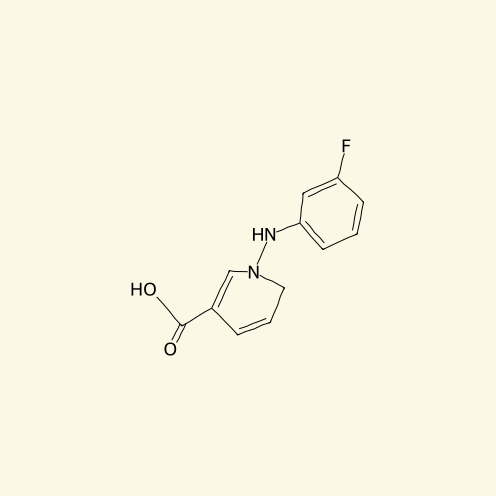 O=C(O)C1=CN(Nc2cccc(F)c2)CC=C1